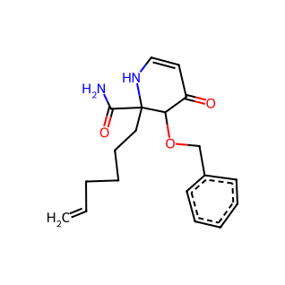 C=CCCCCC1(C(N)=O)NC=CC(=O)C1OCc1ccccc1